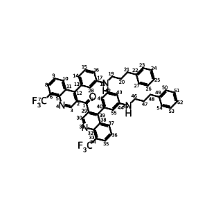 O=C(c1cnc2c(C(F)(F)F)cccc2c1-c1cccc(NCCCc2ccccc2)c1)c1cnc2c(C(F)(F)F)cccc2c1-c1cccc(NCCCc2ccccc2)c1